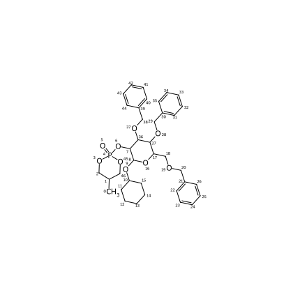 CC1COP(=O)(OC2C(OC3CCCCC3)OC(COCc3ccccc3)C(OCc3ccccc3)C2OCc2ccccc2)OC1